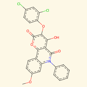 COc1ccc2c3oc(=O)c(Oc4ccc(Cl)cc4Cl)c(O)c3c(=O)n(-c3ccccc3)c2c1